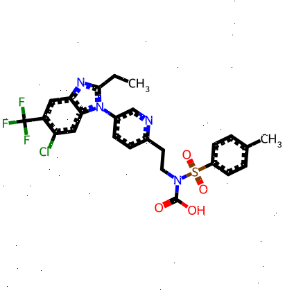 CCc1nc2cc(C(F)(F)F)c(Cl)cc2n1-c1ccc(CCN(C(=O)O)S(=O)(=O)c2ccc(C)cc2)nc1